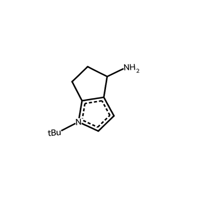 CC(C)(C)n1ccc2c1CCC2N